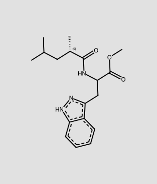 COC(=O)C(Cc1n[nH]c2ccccc12)NC(=O)[C@@H](C)CC(C)C